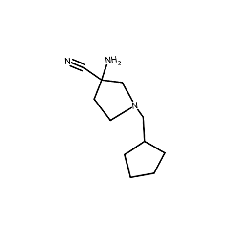 N#CC1(N)CCN(CC2CCCC2)C1